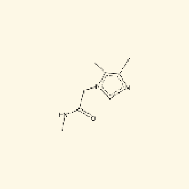 CNC(=O)Cn1[c]nc(C)c1C